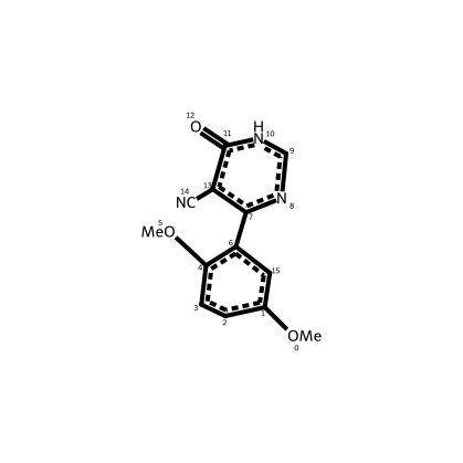 COc1ccc(OC)c(-c2nc[nH]c(=O)c2C#N)c1